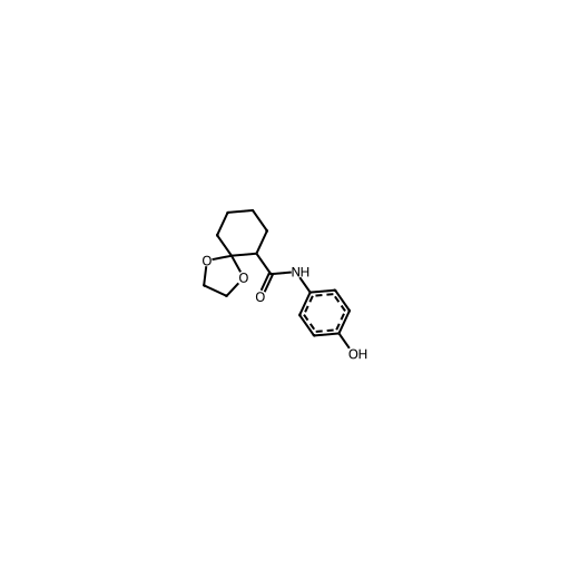 O=C(Nc1ccc(O)cc1)C1CCCCC12OCCO2